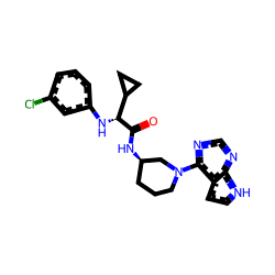 O=C(N[C@@H]1CCCN(c2ncnc3[nH]ccc23)C1)[C@H](Nc1cccc(Cl)c1)C1CC1